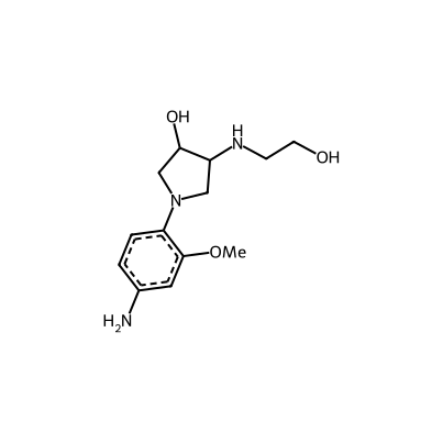 COc1cc(N)ccc1N1CC(O)C(NCCO)C1